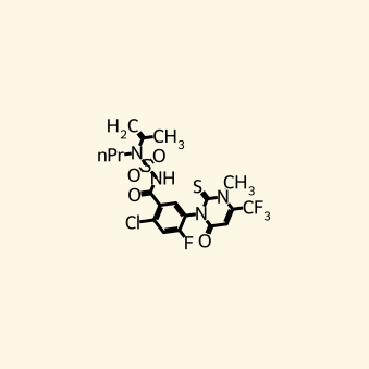 C=C(C)N(CCC)S(=O)(=O)NC(=O)c1cc(-n2c(=O)cc(C(F)(F)F)n(C)c2=S)c(F)cc1Cl